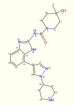 CC1(O)CCN(C(=O)Nc2nc3cccc(-c4cnn(C5CCNCC5)c4)c3[nH]2)CC1